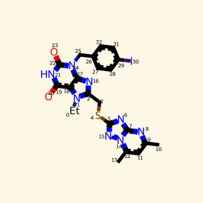 CCn1c(CSc2nc3nc(C)cc(C)n3n2)nc2c1c(=O)[nH]c(=O)n2Cc1ccc(I)cc1